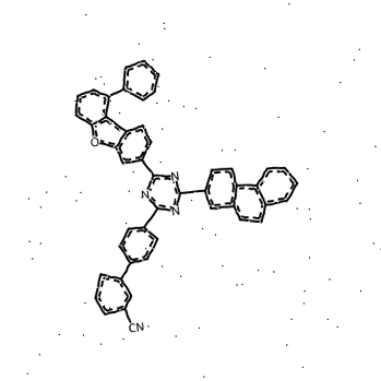 N#Cc1cccc(-c2ccc(-c3nc(-c4ccc5c(ccc6ccccc65)c4)nc(-c4ccc5c(c4)oc4cccc(-c6ccccc6)c45)n3)cc2)c1